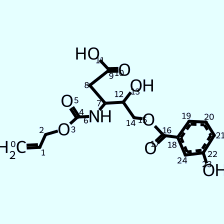 C=CCOC(=O)NC(CC(=O)O)C(O)COC(=O)c1cccc(O)c1